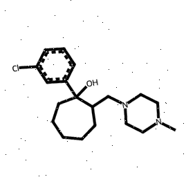 CN1CCN(CC2CCCCCC2(O)c2cccc(Cl)c2)CC1